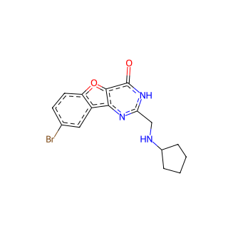 O=c1[nH]c(CNC2CCCC2)nc2c1oc1ccc(Br)cc12